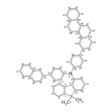 CC1(C)c2ccccc2-c2c(N(c3ccc(-c4ccc5ccccc5c4)cc3)c3ccc(-c4ccc5ccc6c7ccccc7ccc6c5c4)cc3)cccc21